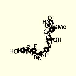 COc1ccc(C(=O)N2CCC3(CCN(Cc4ccc(-c5cc6c(-c7cc(F)cc(NC(=O)c8ccc(C(C)(C)O)cc8F)c7C)ncnc6[nH]5)cc4)CC3CO)CC2)cc1N1CCC(=O)NC1=O